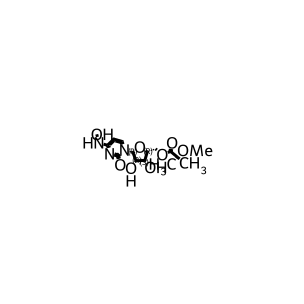 COC(C)(C)C(=O)OC[C@H]1O[C@@H](n2ccc(NO)nc2=O)[C@H](O)[C@@H]1O